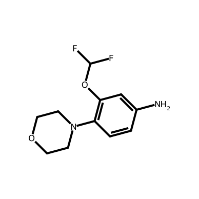 Nc1ccc(N2CCOCC2)c(OC(F)F)c1